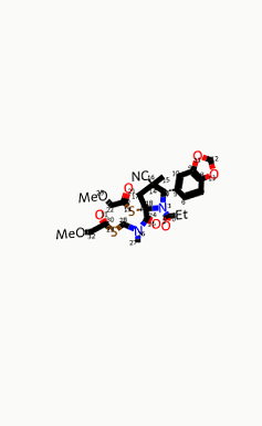 CCC(=O)N1[C@@H](c2ccc3c(c2)OCO3)[C@@](C)(C#N)C[C@]1(SC(=O)COC)C(=O)N(C)CSC(=O)COC